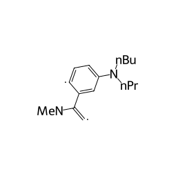 [CH]=C(NC)c1[c]ccc(N(CCC)CCCC)c1